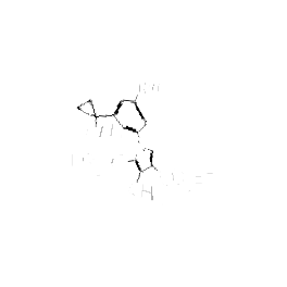 CCOC(=O)c1cn(-c2cc(C(C)(C)C)cc(C3(C)CC3)c2)c(C(=O)O)c1C